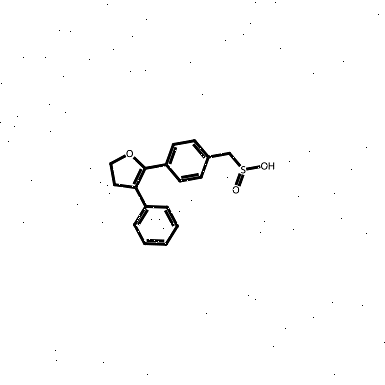 O=S(O)Cc1ccc(C2=C(c3ccccc3)CCO2)cc1